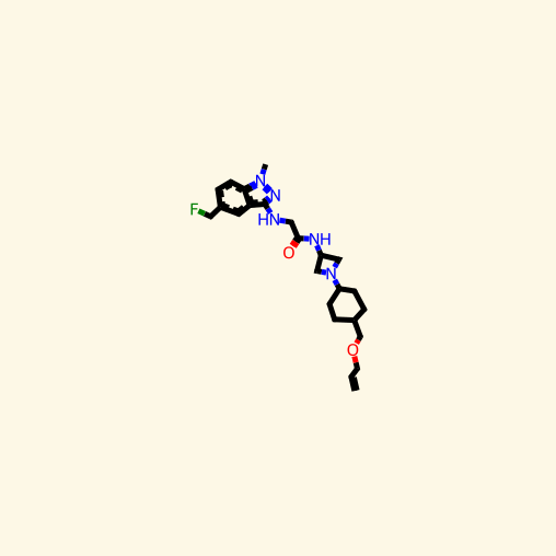 C=CCOCC1CCC(N2CC(NC(=O)CNc3nn(C)c4ccc(CF)cc34)C2)CC1